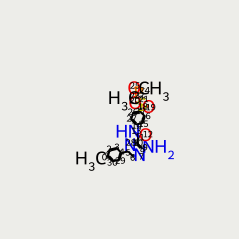 Cc1ccc(-c2cnc(N)c(C(=O)Nc3ccc(S(=O)(=O)CP(C)(C)=O)cc3)n2)cc1